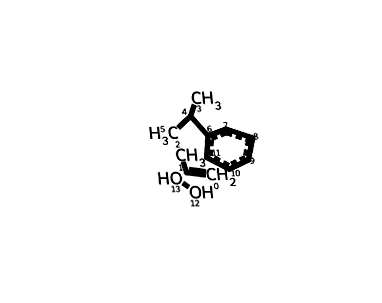 C=CC.CC(C)c1ccccc1.OO